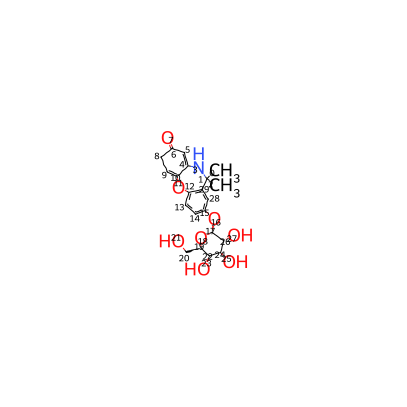 CC1(C)NC2=CC(=O)CC=C2Oc2ccc(O[C@@H]3O[C@H](CO)[C@H](O)[C@H](O)[C@H]3O)cc21